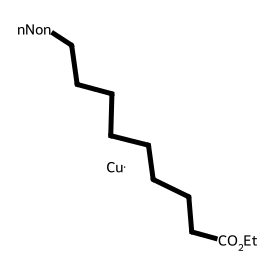 CCCCCCCCCCCCCCCCCC(=O)OCC.[Cu]